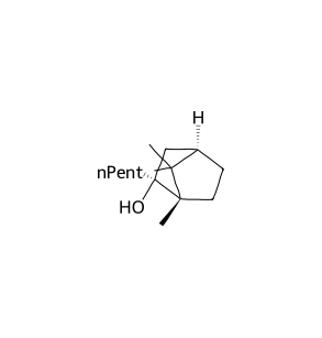 CCCCC[C@]1(O)C[C@H]2CC[C@@]1(C)C2(C)C